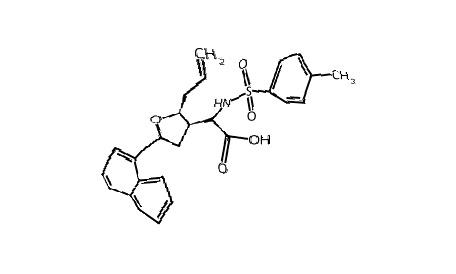 C=CC[C@@H]1OC(c2cccc3ccccc23)C[C@@H]1C(NS(=O)(=O)c1ccc(C)cc1)C(=O)O